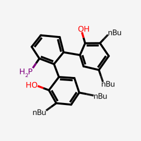 CCCCc1cc(CCCC)c(O)c(-c2cccc(P)c2-c2cc(CCCC)cc(CCCC)c2O)c1